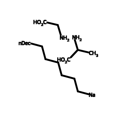 CC(N)C(=O)O.CCCCCCCCCCCCCCC[CH2][Na].NCC(=O)O